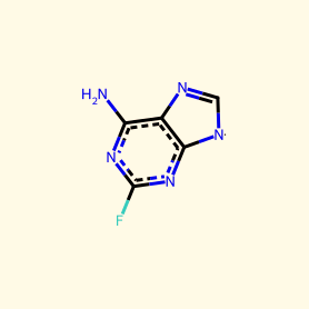 Nc1nc(F)nc2c1N=C[N]2